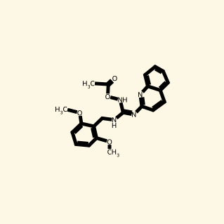 COc1cccc(OC)c1CNC(=Nc1ccc2ccccc2n1)NOC(C)=O